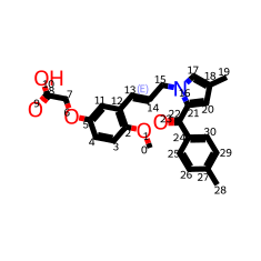 COc1ccc(OCC(=O)O)cc1/C=C/Cn1cc(C)cc1C(=O)c1ccc(C)cc1